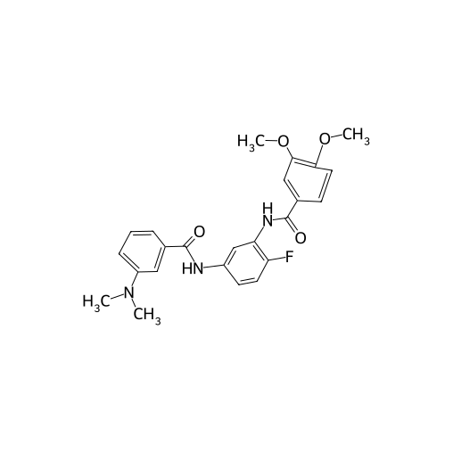 COc1ccc(C(=O)Nc2cc(NC(=O)c3cccc(N(C)C)c3)ccc2F)cc1OC